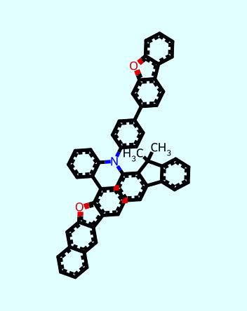 CC1(C)c2ccccc2-c2cccc(N(c3ccc(-c4ccc5c(c4)oc4ccccc45)cc3)c3ccccc3-c3cccc4c3oc3cc5ccccc5cc34)c21